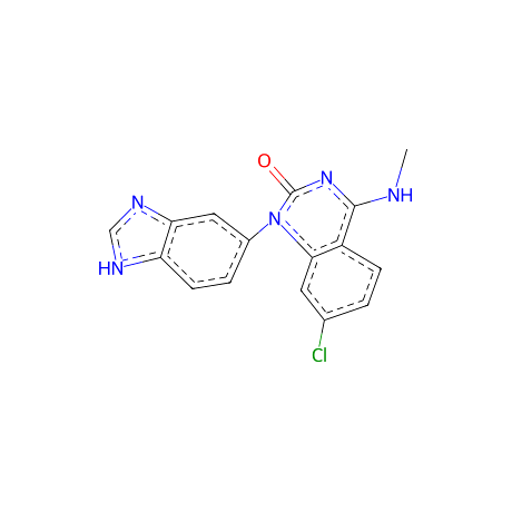 CNc1nc(=O)n(-c2ccc3[nH]cnc3c2)c2cc(Cl)ccc12